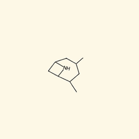 CC1CC2CC(N2)C(C)C1